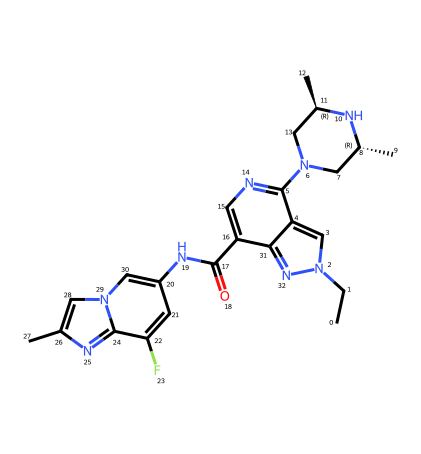 CCn1cc2c(N3C[C@@H](C)N[C@H](C)C3)ncc(C(=O)Nc3cc(F)c4nc(C)cn4c3)c2n1